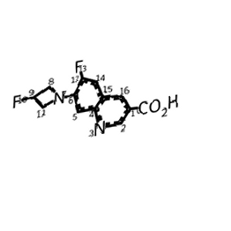 O=C(O)c1cnc2cc(N3CC(F)C3)c(F)cc2c1